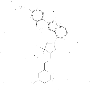 COc1ncc(-c2cc3c(N4CC(OCC5CN(C)CCO5)C(F)(F)C4)nccn3n2)c(OC)n1